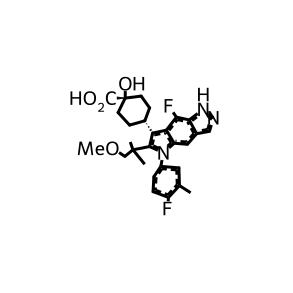 COCC(C)(C)c1c([C@H]2CC[C@](O)(C(=O)O)CC2)c2c(F)c3[nH]ncc3cc2n1-c1ccc(F)c(C)c1